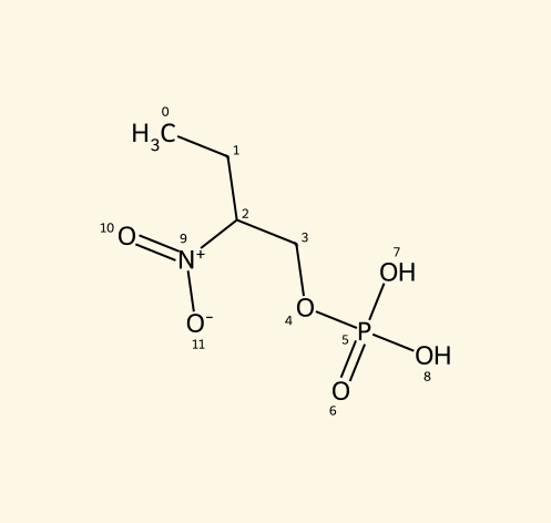 CCC(COP(=O)(O)O)[N+](=O)[O-]